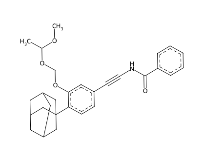 COC(C)OCOc1cc(C#CNC(=O)c2ccccc2)ccc1C12CC3CC(CC(C3)C1)C2